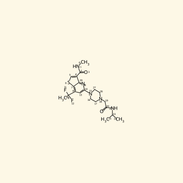 CNC(=O)c1csc2c(C(C)(F)F)cc(N3CCN(CC(=O)NC(C)C)CC3)nc12